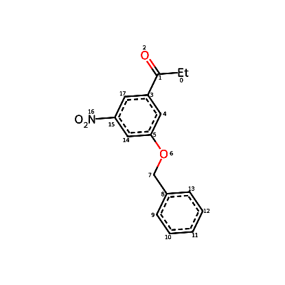 CCC(=O)c1cc(OCc2ccccc2)cc([N+](=O)[O-])c1